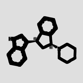 c1ccc2c(c1)[C@@H](c1c[nH]c3ccccc13)C[C@H]2N1CCCCC1